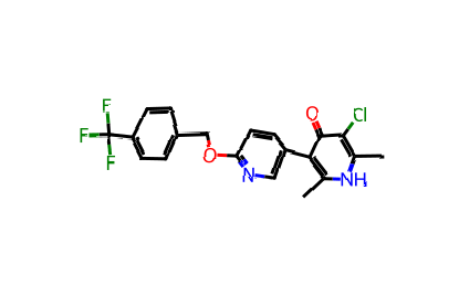 Cc1[nH]c(C)c(-c2ccc(OCc3ccc(C(F)(F)F)cc3)nc2)c(=O)c1Cl